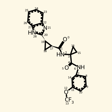 O=C(NC1(C(=O)Nc2cccc(OC(F)(F)F)c2)CC1)[C@H]1C[C@@H]1c1nc2ccccc2[nH]1